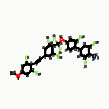 CCOc1cc(F)c(C#Cc2cc(F)c(C(F)(F)Oc3ccc(-c4cc(F)c(C(F)(F)F)c(F)c4)c(F)c3)c(F)c2)c(F)c1